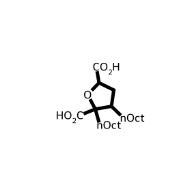 CCCCCCCCC1CC(C(=O)O)OC1(CCCCCCCC)C(=O)O